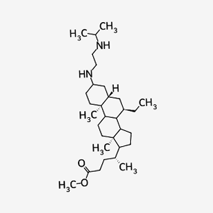 CC[C@@H]1C[C@H]2CC(NCCNC(C)C)CC[C@]2(C)C2CC[C@@]3(C)C(CCC3[C@H](C)CCC(=O)OC)C21